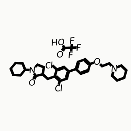 O=C(O)C(F)(F)F.O=C1C(Cc2c(Cl)cc(-c3ccc(OCCN4CCCCC4)cc3)cc2Cl)CCN1C1CCCCC1